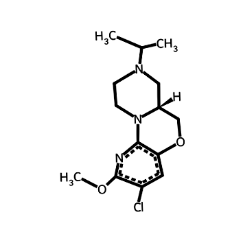 COc1nc2c(cc1Cl)OC[C@H]1CN(C(C)C)CCN21